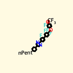 CCCCCC1CCC(c2cnc(-c3ccc(-c4ccc(C(F)(F)Oc5ccc(OC(F)(F)F)c(F)c5)c(F)c4)c(F)c3)nc2)CC1